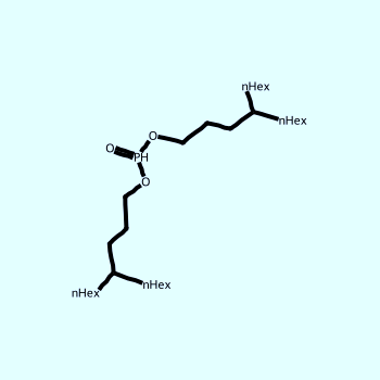 CCCCCCC(CCCCCC)CCCO[PH](=O)OCCCC(CCCCCC)CCCCCC